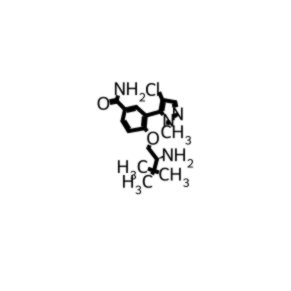 Cn1ncc(Cl)c1-c1cc(C(N)=O)ccc1OC[C@H](N)C(C)(C)C